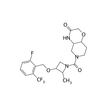 CC1C(OCc2c(F)cccc2C(F)(F)F)CN1C(=O)N1CCC2OCC(=O)NC2C1